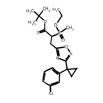 CCOP(C)(=O)C(Cc1nc(C2(c3cccc(Cl)c3)CC2)no1)C(=O)OC(C)(C)C